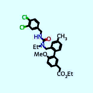 CCOC(=O)Cc1ccc(OC)c(-c2ccc(C)cc2CN(CC)C(=O)NCc2ccc(Cl)c(Cl)c2)c1